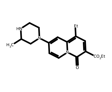 CCOC(=O)c1cc(CC)c2cc(N3CCNC(C)C3)ccn2c1=O